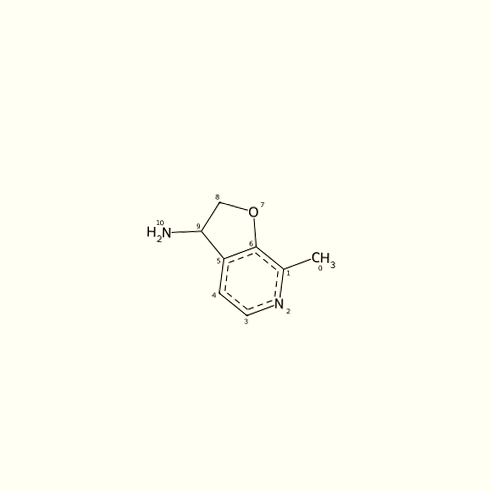 Cc1nccc2c1OCC2N